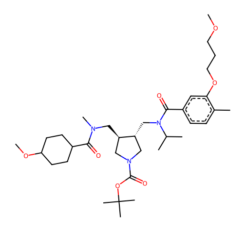 COCCCOc1cc(C(=O)N(C[C@@H]2CN(C(=O)OC(C)(C)C)C[C@H]2CN(C)C(=O)C2CCC(OC)CC2)C(C)C)ccc1C